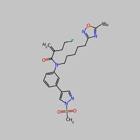 C=C(CCF)C(=O)N(CCCCCc1noc(C(C)(C)C)n1)c1cccc(-c2cnn(S(C)(=O)=O)c2)c1